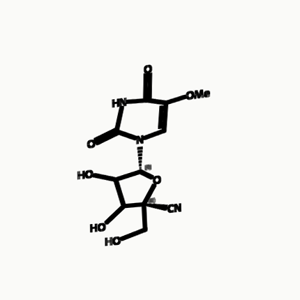 COc1cn([C@@H]2O[C@](C#N)(CO)C(O)C2O)c(=O)[nH]c1=O